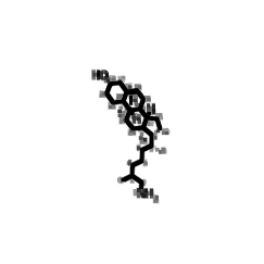 CC(CN)CCC[C@@H](C)[C@H]1CC[C@H]2[C@@H]3CC=C4C[C@@H](O)CC[C@]4(C)[C@H]3CC[C@]12C